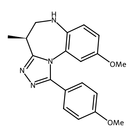 COc1ccc(-c2nnc3n2-c2cc(OC)ccc2NC[C@@H]3C)cc1